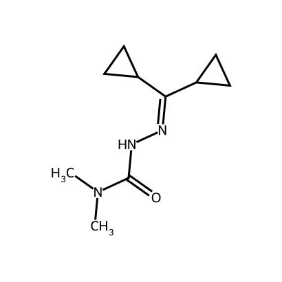 CN(C)C(=O)NN=C(C1CC1)C1CC1